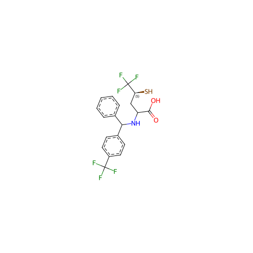 O=C(O)C(C[C@H](S)C(F)(F)F)NC(c1ccccc1)c1ccc(C(F)(F)F)cc1